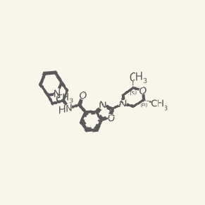 C[C@@H]1CN(c2nc3c(C(=O)NC4CC5CCCC(C4)N5C)cccc3o2)C[C@H](C)O1